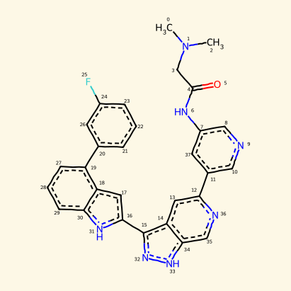 CN(C)CC(=O)Nc1cncc(-c2cc3c(-c4cc5c(-c6cccc(F)c6)cccc5[nH]4)n[nH]c3cn2)c1